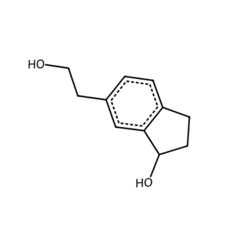 OCCc1ccc2c(c1)C(O)CC2